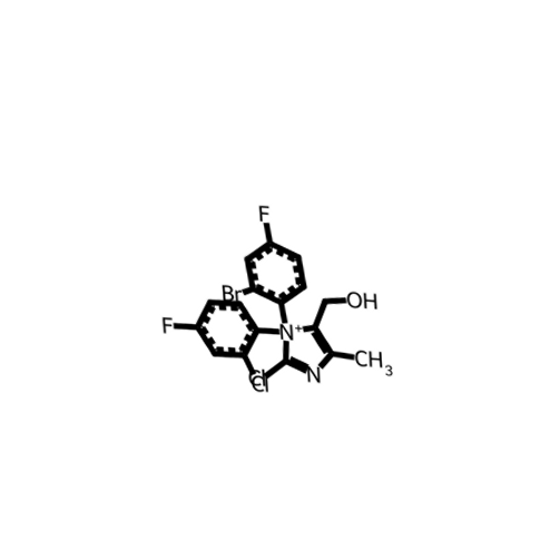 CC1=C(CO)[N+](c2ccc(F)cc2Cl)(c2ccc(F)cc2Br)C(Cl)=N1